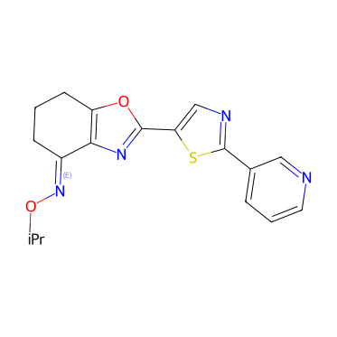 CC(C)O/N=C1\CCCc2oc(-c3cnc(-c4cccnc4)s3)nc21